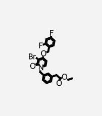 CCOC(=O)Cc1cccc(Cn2ccc(OCc3ccc(F)cc3F)c(Br)c2=O)c1